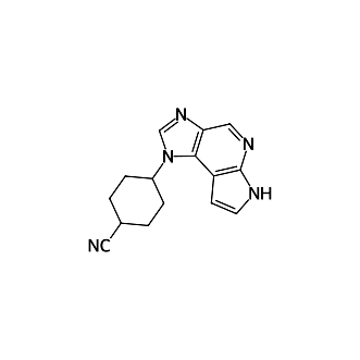 N#CC1CCC(n2cnc3cnc4[nH]ccc4c32)CC1